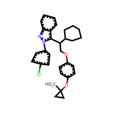 O=C(O)C1(Oc2ccc(OCC(c3c4ccccc4nn3-c3ccc(Cl)cc3)C3CCCCC3)cc2)CC1